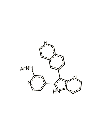 CC(=O)Nc1cc(-c2[nH]c3cccnc3c2-c2ccc3cnccc3c2)ccn1